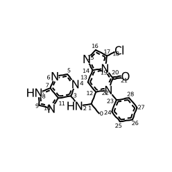 CC(Nc1ncnc2[nH]cnc12)c1cc2ncc(Cl)n2c(=O)n1-c1ccccc1